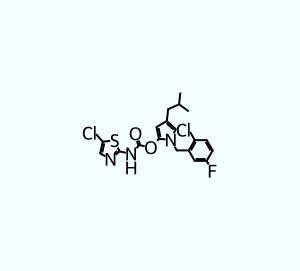 CC(C)Cc1cc(OC(=O)Nc2ncc(Cl)s2)n(Cc2cc(F)ccc2Cl)c1